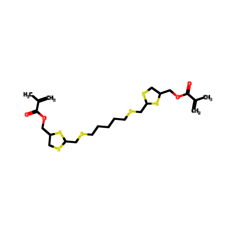 C=C(C)C(=O)OCC1CSC(CSCCCCCSCC2SCC(COC(=O)C(=C)C)S2)S1